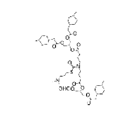 CC1CCC(CC(=O)OCC(COC=O)OC(=O)CCCN(CCCC(=O)OC(COC(=O)CC2CCC(C)CC2)COC(=O)CC2CCC(C)CC2)C(=O)SCCCN(C)C)CC1